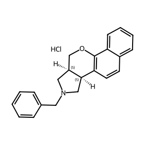 Cl.c1ccc(CN2C[C@H]3COc4c(ccc5ccccc45)[C@H]3C2)cc1